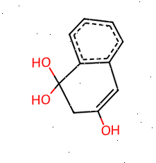 OC1=Cc2ccccc2C(O)(O)C1